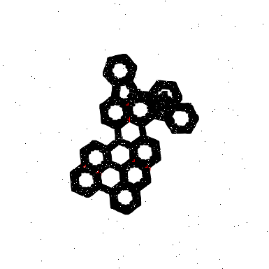 c1ccc(-c2cccc3cccc(-c4ccccc4N(c4ccc5c6ccccc6n(-c6ccccc6)c5c4)c4ccccc4-c4cccc5sc6ccccc6c45)c23)cc1